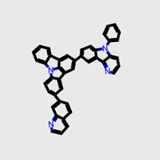 c1ccc(-n2c3ccc(-c4cc5c6ccccc6n6c7ccc(-c8ccc9cccnc9c8)cc7c(c4)c56)cc3c3ncccc32)cc1